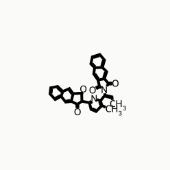 C/C=C(\c1nc(C2C(=O)c3cc4ccccc4cc3C2=O)ccc1C)N1C(=O)c2cc3ccccc3cc2C1=O